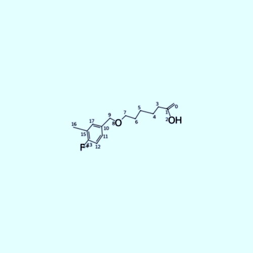 C=C(O)CCCCCOCc1ccc(F)c(C)c1